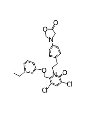 CCc1cccc(OCc2c(Cl)cc(Cl)c(=O)n2CCc2ccc(N3COC(=O)C3)cc2)c1